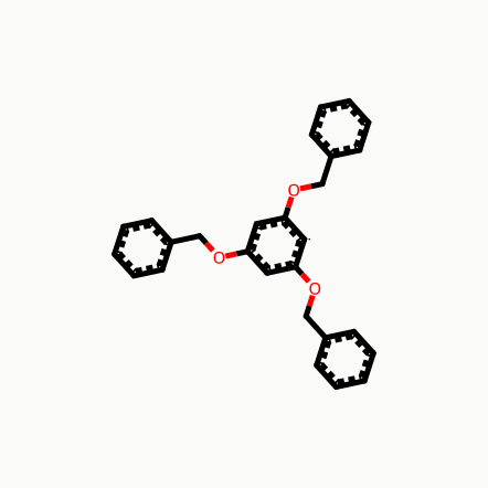 [c]1c(OCc2ccccc2)cc(OCc2ccccc2)cc1OCc1ccccc1